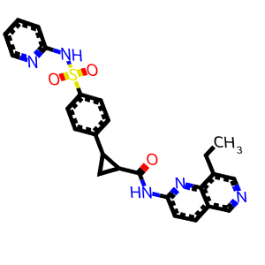 CCc1cncc2ccc(NC(=O)C3CC3c3ccc(S(=O)(=O)Nc4ccccn4)cc3)nc12